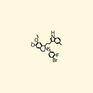 CCOc1cc2c(cc1OC)CCN(Sc1ccc(Br)c(F)c1)C2CCc1c[nH]c2ccc(C)cc12